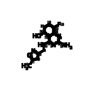 Cc1cc(CNc2nc(N)nc3c(F)ccc(O)c23)no1